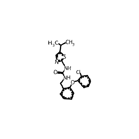 CC(C)c1cnc(NC(=O)NCc2ccccc2Oc2ccccc2Cl)s1